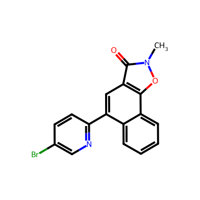 Cn1oc2c(cc(-c3ccc(Br)cn3)c3ccccc32)c1=O